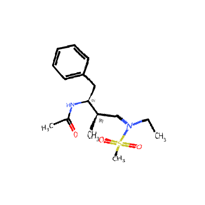 CCN(C[C@@H](C)[C@H](Cc1ccccc1)NC(C)=O)S(C)(=O)=O